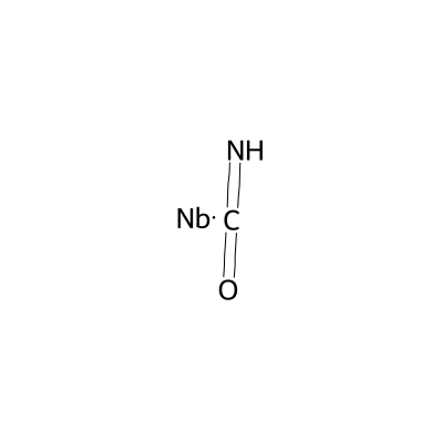 N=C=O.[Nb]